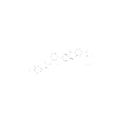 Cn1cc(-c2cccc3c2CCN3C(=O)Nc2ccc(F)cc2F)nc(Nc2ccc(C(=O)N3CCOCC3)cc2)c1=O